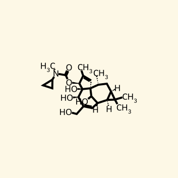 CC1=C[C@]23C(O)[C@@H](C=C(CO)[C@@H](O)[C@]2(O)[C@H]1OC(=O)N(C)C1CC1)[C@H]1[C@@H](C[C@H]3C)C1(C)C